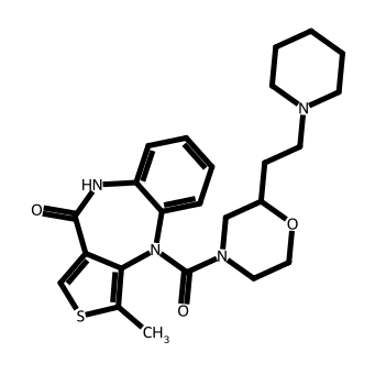 Cc1scc2c1N(C(=O)N1CCOC(CCN3CCCCC3)C1)c1ccccc1NC2=O